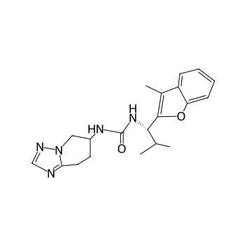 Cc1c([C@@H](NC(=O)NC2CCc3ncnn3C2)C(C)C)oc2ccccc12